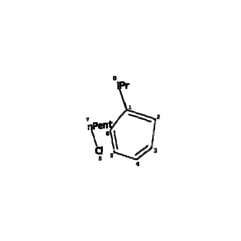 CC(C)c1ccccc1.CCCCCCl